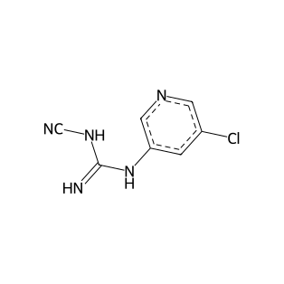 N#CNC(=N)Nc1cncc(Cl)c1